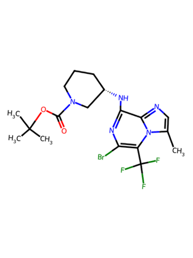 Cc1cnc2c(N[C@H]3CCCN(C(=O)OC(C)(C)C)C3)nc(Br)c(C(F)(F)F)n12